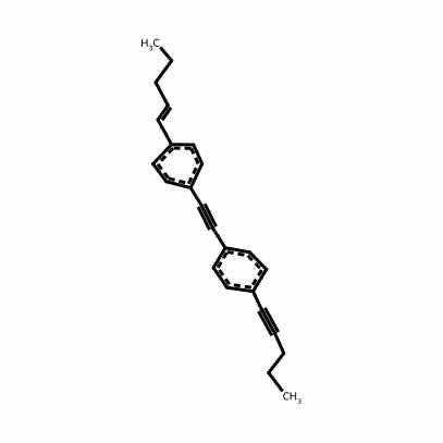 CCCC#Cc1ccc(C#Cc2ccc(/C=C/CCC)cc2)cc1